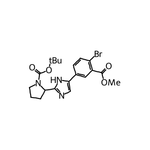 COC(=O)c1cc(-c2cnc(C3CCCN3C(=O)OC(C)(C)C)[nH]2)ccc1Br